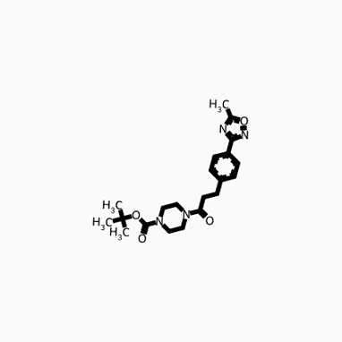 Cc1nc(-c2ccc(CCC(=O)N3CCN(C(=O)OC(C)(C)C)CC3)cc2)no1